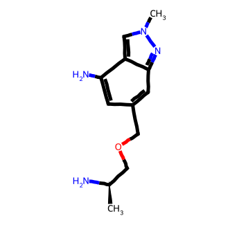 C[C@@H](N)COCc1cc(N)c2cn(C)nc2c1